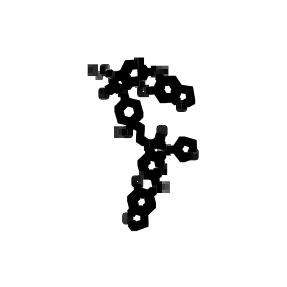 Cn1c(=O)n(C2CCC(O)(CCn3c(=O)n(C4CCOC4)c4nc(Nc5cc6c(cc5Cl)OCC6)ncc43)CC2)c2nc(Nc3cc4c(cc3Cl)OCC4)ncc21